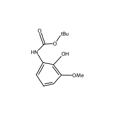 COc1cccc(NC(=O)OC(C)(C)C)c1O